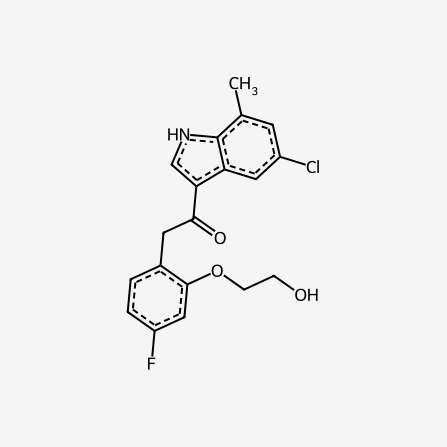 Cc1cc(Cl)cc2c(C(=O)Cc3ccc(F)cc3OCCO)c[nH]c12